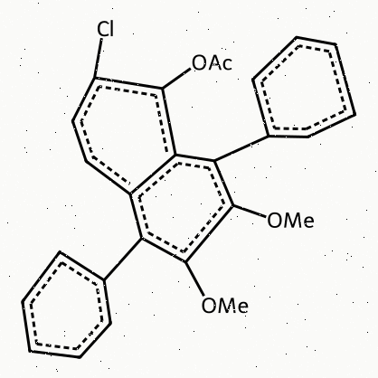 COc1c(OC)c(-c2ccccc2)c2c(OC(C)=O)c(Cl)ccc2c1-c1ccccc1